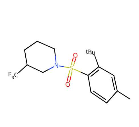 Cc1ccc(S(=O)(=O)N2CCCC(C(F)(F)F)C2)c(C(C)(C)C)c1